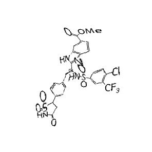 COC(=O)c1ccc2nc([C@H](Cc3ccc(C4CC(=O)NS4(=O)=O)cc3)NS(=O)(=O)c3ccc(Cl)c(C(F)(F)F)c3)[nH]c2c1